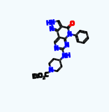 CCOC(=O)N1CCC(Nc2ncc3c4n[nH]cc4c(=O)n(-c4ccccc4)c3n2)CC1